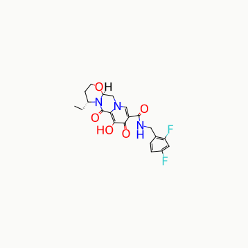 CC[C@@H]1CCO[C@H]2Cn3cc(C(=O)NCc4ccc(F)cc4F)c(=O)c(O)c3C(=O)N12